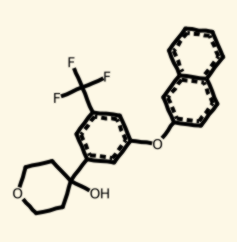 OC1(c2cc(Oc3ccc4ccccc4c3)cc(C(F)(F)F)c2)CCOCC1